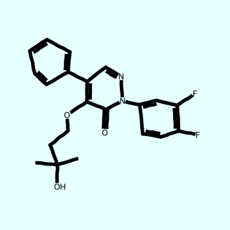 CC(C)(O)CCOc1c(-c2ccccc2)cnn(-c2ccc(F)c(F)c2)c1=O